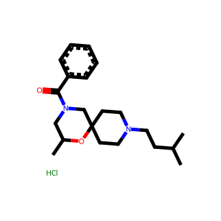 CC(C)CCN1CCC2(CC1)CN(C(=O)c1ccccc1)CC(C)O2.Cl